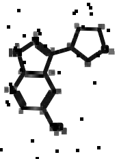 O=[N+]([O-])c1cnc2[nH]nc(C3CCOC3)c2c1